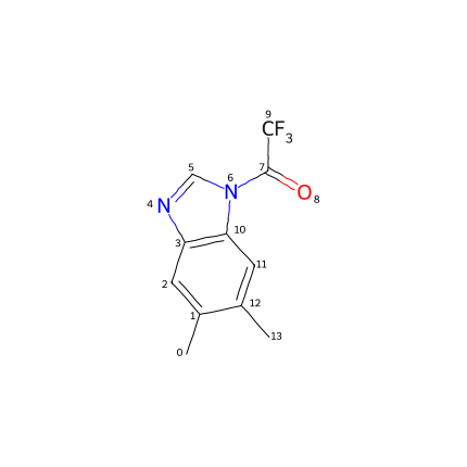 Cc1cc2ncn(C(=O)C(F)(F)F)c2cc1C